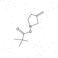 C=C1CCN(OC(=O)C(C)(C)C)C1